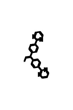 CC=C(c1ccc(-c2ncccn2)cc1)c1ccc(-c2ncccn2)cc1